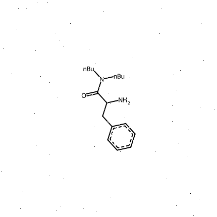 CCCCN(CCCC)C(=O)C(N)Cc1ccccc1